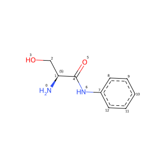 N[C@@H](CO)C(=O)Nc1ccccc1